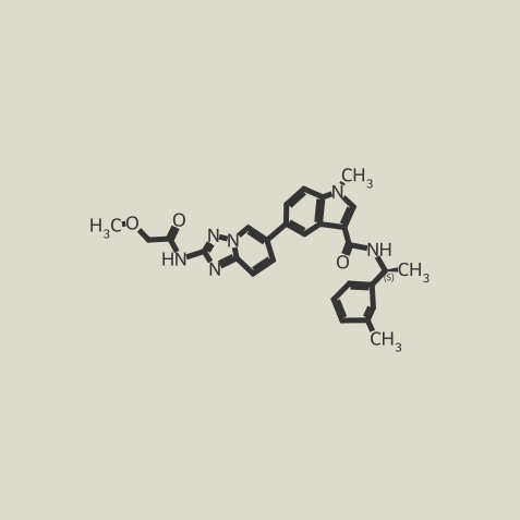 COCC(=O)Nc1nc2ccc(-c3ccc4c(c3)c(C(=O)N[C@@H](C)c3cccc(C)c3)cn4C)cn2n1